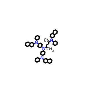 CC/C(=C\C=C(/C)N(c1ccc(N(c2ccccc2)c2ccc3ccccc3c2)cc1)c1ccc(N(c2ccccc2)c2ccc3ccccc3c2)cc1)N(c1ccccc1)c1ccc2ccccc2c1